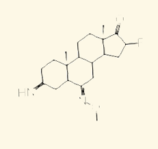 CO/N=C1\CC2C(CC[C@]3(C)C(=O)C(F)CC23)[C@@]2(C)CCC(=N)CC12